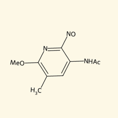 COc1nc(N=O)c(NC(C)=O)cc1C